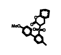 COc1ccc(-c2ccc(C)cc2S(=O)(=O)C2Cc3ccccc3OC2=O)cc1